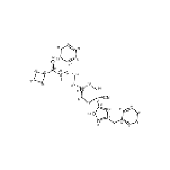 N#CC1(c2nc(Cc3ccccc3)no2)CCN(CC[C@H](NC(=O)C2CCC2)c2ccccc2)CC1